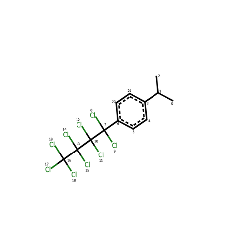 C[C](C)c1ccc(C(Cl)(Cl)C(Cl)(Cl)C(Cl)(Cl)C(Cl)(Cl)Cl)cc1